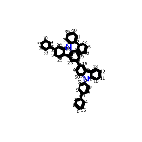 c1ccc(-c2ccc(-n3c4ccccc4c4cc(-c5ccc6c(c5)c5ccc(-c7ccccc7)cc5n6-c5ccccc5-c5ccccc5)ccc43)cc2)cc1